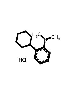 CN(C)c1ccccc1C1CCCCC1.Cl